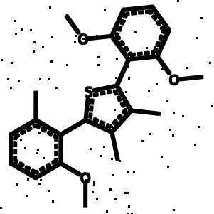 COc1cccc(C)c1-c1sc(-c2c(OC)cccc2OC)c(C)c1C